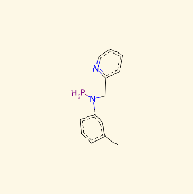 Cc1cccc(N(P)Cc2ccccn2)c1